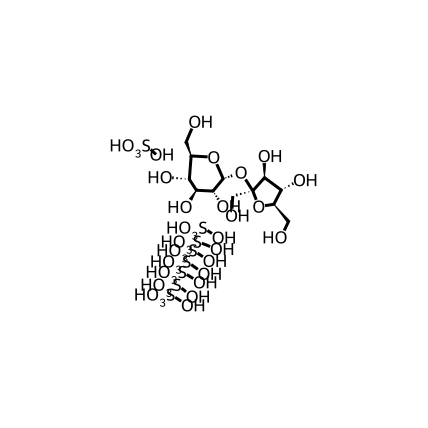 O=S(=O)(O)O.O=S(=O)(O)O.O=S(=O)(O)O.O=S(=O)(O)O.O=S(=O)(O)O.O=S(=O)(O)O.O=S(=O)(O)O.O=S(=O)(O)O.OC[C@H]1O[C@@](CO)(O[C@H]2O[C@H](CO)[C@@H](O)[C@H](O)[C@H]2O)[C@@H](O)[C@@H]1O